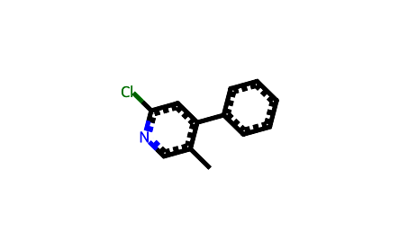 Cc1cnc(Cl)cc1-c1ccccc1